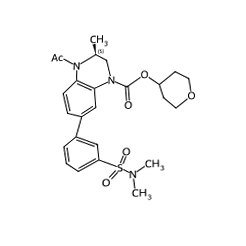 CC(=O)N1c2ccc(-c3cccc(S(=O)(=O)N(C)C)c3)cc2N(C(=O)OC2CCOCC2)C[C@@H]1C